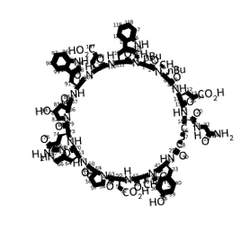 CCCC[C@H]1C(=O)N(C)[C@@H](CCCC)C(=O)N[C@@H](CCC(=O)O)C(=O)N[C@H](C(=O)NCC(N)=O)CSCC(=O)N[C@@H](Cc2ccc(O)cc2)C(=O)N(C)[C@@H](C)C(=O)N[C@@H](CC(=O)O)C(=O)N2CCC[C@H]2C(=O)N[C@@H](Cc2c[nH]cn2)C(=O)N[C@@H](CCC(N)=O)C(=O)N2C[C@H](O)C[C@H]2C(=O)N[C@@H](Cc2c[nH]c3ccccc23)C(=O)N[C@@H](CCC(=O)O)C(=O)N[C@@H](Cc2c[nH]c3ccccc23)C(=O)N1C